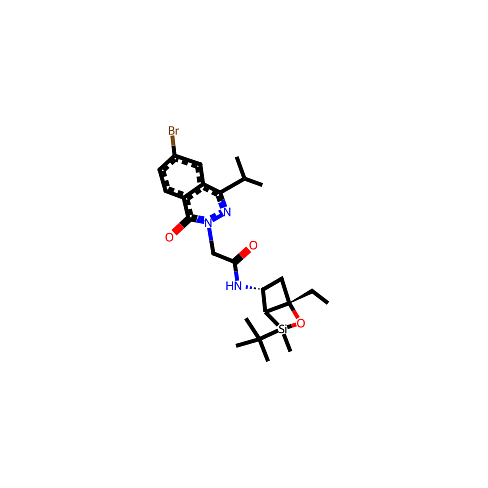 CC[C@]12C[C@@H](NC(=O)Cn3nc(C(C)C)c4cc(Br)ccc4c3=O)C1[Si](C)(C(C)(C)C)O2